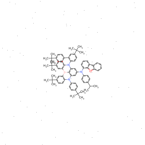 CC(C)c1ccc(N(c2cc3c4c(c2)N(c2ccc(C(C)(C)C)cc2-c2ccc(C(C)(C)C)cc2)c2ccc(C(C)(C)C)cc2B4c2cc(C(C)(C)C)ccc2N3c2ccc(C(C)(C)C)cc2)c2cccc3c2oc2ccccc23)cc1